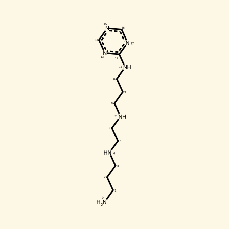 NCCCNCCNCCCNc1ncncn1